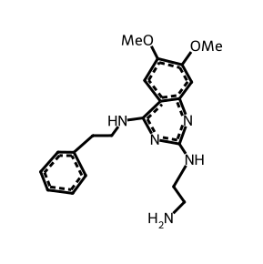 COc1cc2nc(NCCN)nc(NCCc3ccccc3)c2cc1OC